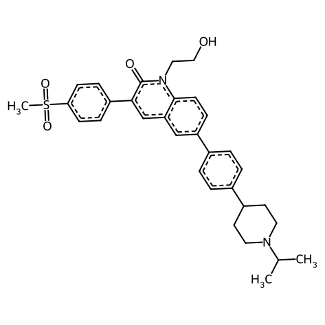 CC(C)N1CCC(c2ccc(-c3ccc4c(c3)cc(-c3ccc(S(C)(=O)=O)cc3)c(=O)n4CCO)cc2)CC1